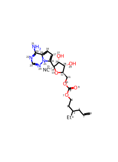 C=CCC(CC)CCOC(=O)OC[C@H]1O[C@@](C#N)(c2ccc3c(N)ncnn23)[C@H](O)[C@@H]1O